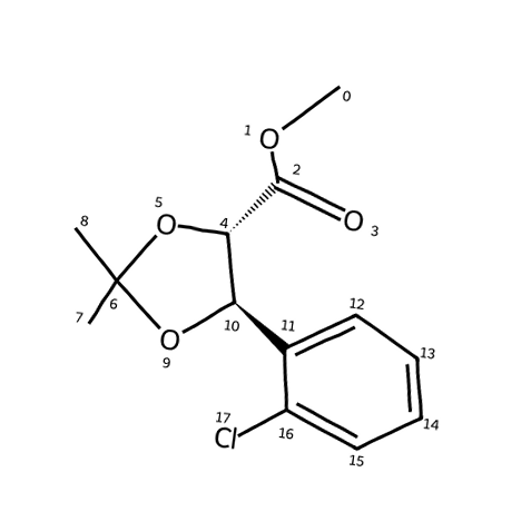 COC(=O)[C@H]1OC(C)(C)O[C@@H]1c1ccccc1Cl